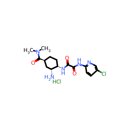 CN(C)C(=O)[C@H]1CC[C@H](NC(=O)C(=O)Nc2ccc(Cl)cn2)[C@H](N)C1.Cl